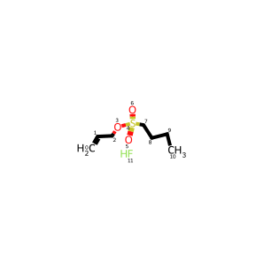 C=CCOS(=O)(=O)CCCC.F